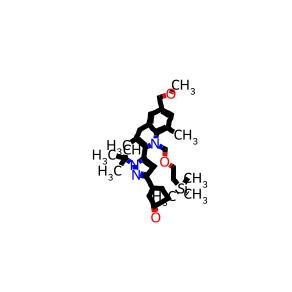 COCc1cc(C)c2c(c1)CC(C)=C(c1cc(C3CCC(=O)C3)nn1C(C)(C)C)N2COCC[Si](C)(C)C